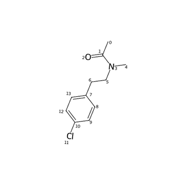 CC(=O)N(C)CCc1ccc(Cl)cc1